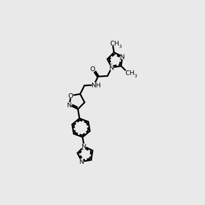 Cc1cn(CC(=O)NCC2CC(c3ccc(-n4ccnc4)cc3)=NO2)c(C)n1